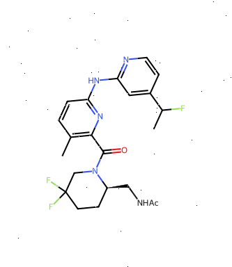 CC(=O)NC[C@H]1CCC(F)(F)CN1C(=O)c1nc(Nc2cc(C(C)F)ccn2)ccc1C